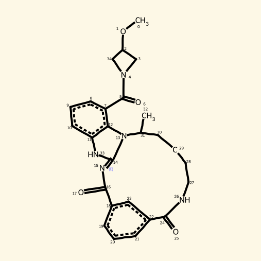 COC1CN(C(=O)c2cccc3c2N2/C(=N/C(=O)c4cccc(c4)C(=O)NCCCCC2C)N3)C1